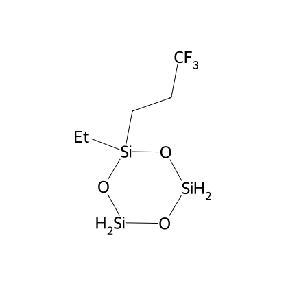 CC[Si]1(CCC(F)(F)F)O[SiH2]O[SiH2]O1